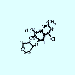 Cc1nc(Cl)c2cc(OC3CCOCC3)c(=O)n(C)c2n1